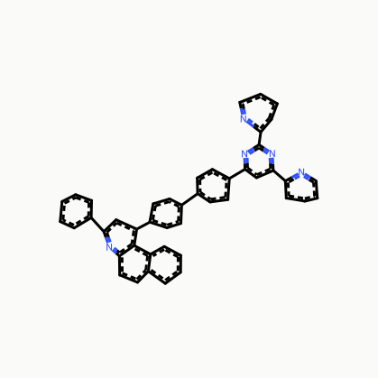 c1ccc(-c2cc(-c3ccc(-c4ccc(-c5cc(-c6ccccn6)nc(-c6ccccn6)n5)cc4)cc3)c3c(ccc4ccccc43)n2)cc1